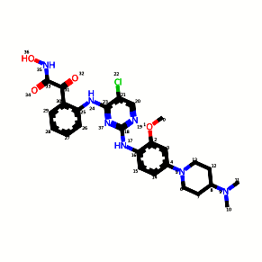 COc1cc(N2CCC(N(C)C)CC2)ccc1Nc1ncc(Cl)c(Nc2ccccc2C(=O)C(=O)NO)n1